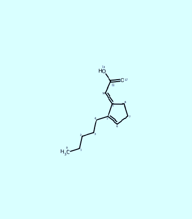 CCCCCC1=CCC/C1=C\C(=O)O